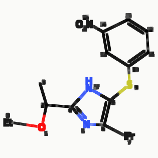 [CH2]COC(C)c1nc(C(C)C)c(Sc2cccc([N+](=O)[O-])c2)[nH]1